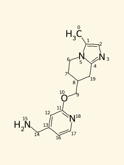 Cc1cnc2n1CCC(COc1cc(CN)ccn1)C2